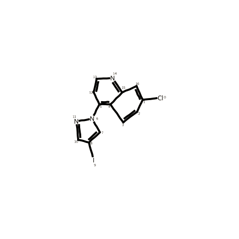 Clc1ccc2c(-n3cc(I)cn3)ccnc2c1